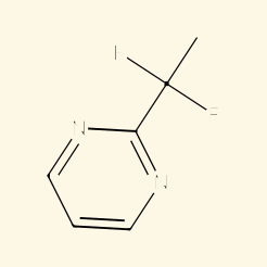 CC(F)(F)c1n[c]ccn1